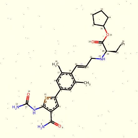 Cc1cc(-c2cc(C(N)=O)c(NC(N)=O)s2)cc(C)c1/C=C/CN[C@H](CC(C)C)C(=O)OC1CCCC1